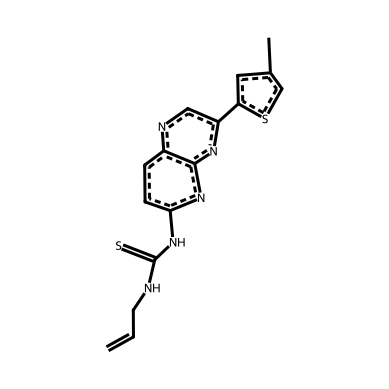 C=CCNC(=S)Nc1ccc2ncc(-c3cc(C)cs3)nc2n1